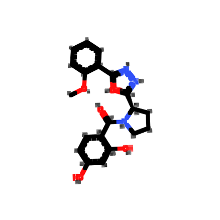 COc1ccccc1-c1nnc([C@H]2CCCN2C(=O)c2ccc(O)cc2O)o1